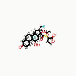 CC(=O)O[C@]1(C(=O)SC2CCOC2=O)[C@H](CF)C[C@H]2[C@@H]3CCC4=CC(=O)C=C[C@]4(C)[C@@]3(F)[C@@H](O)C[C@@]21C